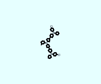 Cc1cccc(N(c2ccc(-c3ccc(N(c4ccccc4)c4ccc(Cl)cc4)cc3)cc2)c2ccc(-c3ccc(N(c4ccccc4)c4ccc(Cl)cc4)cc3)cc2)c1